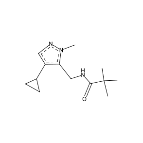 Cn1ncc(C2CC2)c1CNC(=O)C(C)(C)C